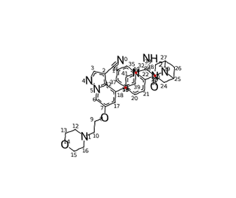 N#Cc1cnn2cc(OCCN3CCOCC3)cc(-c3ccc(N4CC5CC(C4)N5C(=O)[C@@H](N)c4ccccc4)nc3)c12